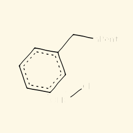 CCCCCCc1ccccc1.O=CCl